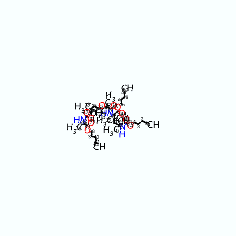 C#CCCCOC(=O)NC(C)(C)CC(C)(C)C(NC(=O)C(C)(C)OCCC(C)(C)OC(=O)NC(C)C(=O)OCCCC#C)C(=O)OCCCC#C